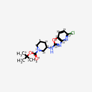 CC(C)(C)OC(=O)N1CCC[C@@H](Nc2nc3nc(Cl)ccc3o2)C1